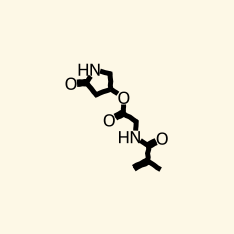 C=C(C)C(=O)NCC(=O)OC1CNC(=O)C1